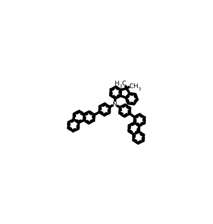 CC1(C)c2ccccc2-c2c(N(c3ccc(-c4ccc5c(ccc6ccccc65)c4)cc3)c3ccc(-c4cccc5c4ccc4ccccc45)cc3)cccc21